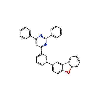 c1ccc(-c2cc(-c3cccc(-c4ccc5oc6ccccc6c5c4)c3)nc(-c3ccccc3)n2)cc1